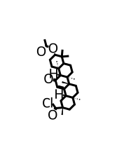 CC(=O)O[C@H]1CC[C@@]2(C)C(CC[C@]3(C)[C@@H]2C(=O)C=C2[C@H]4C[C@@](C)(C(=O)Cl)CC[C@]4(C)CC[C@]23C)C1(C)C